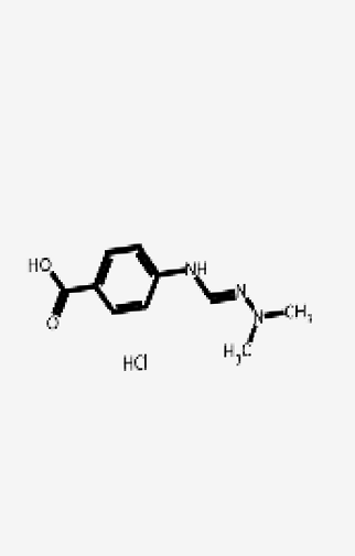 CN(C)/N=C/Nc1ccc(C(=O)O)cc1.Cl